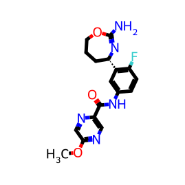 COc1cnc(C(=O)Nc2ccc(F)c([C@@H]3CCCOC(N)=N3)c2)cn1